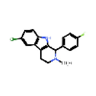 CCOC(=O)N1CCc2c([nH]c3ccc(Cl)cc23)C1c1ccc(F)cc1